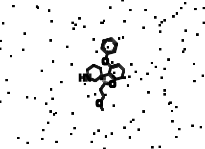 COCCC(=O)[C@@]1(C2=C[CH]CC=C2Oc2ccccc2)CCCNC1